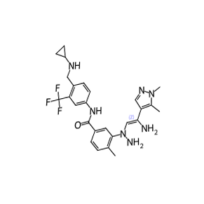 Cc1ccc(C(=O)Nc2ccc(CNC3CC3)c(C(F)(F)F)c2)cc1N(N)/C=C(\N)c1cnn(C)c1C